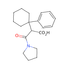 O=C(O)C(C(=O)N1CCCC1)C1(c2[c]cccc2)CCCCC1